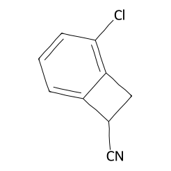 N#CC1Cc2c(Cl)cccc21